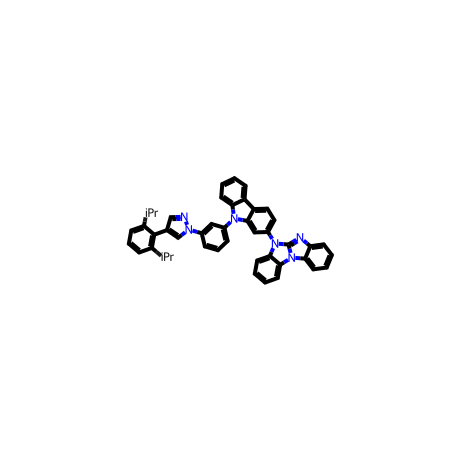 CC(C)c1cccc(C(C)C)c1-c1cnn(-c2cccc(-n3c4ccccc4c4ccc(-n5c6ccccc6n6c7ccccc7nc56)cc43)c2)c1